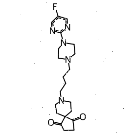 O=C1CCC(=O)C12CCN(CCCCN1CCN(c3ncc(F)cn3)CC1)CC2